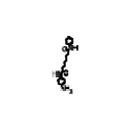 Nc1ccc(NC(=O)CCCCCCC(=O)Nc2ccccc2)cc1